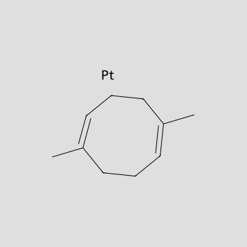 CC1=CCCC(C)=CCC1.[Pt]